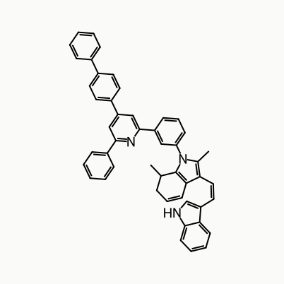 Cc1c(/C=C\c2c[nH]c3ccccc23)c2c(n1-c1cccc(-c3cc(-c4ccc(-c5ccccc5)cc4)cc(-c4ccccc4)n3)c1)C(C)CC=C2